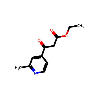 CCOC(=O)CC(=O)c1ccnc(C)c1